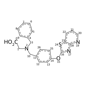 O=C(O)CN(Cc1ccccc1)Cc1ccc(Oc2nc3ncccc3s2)cc1